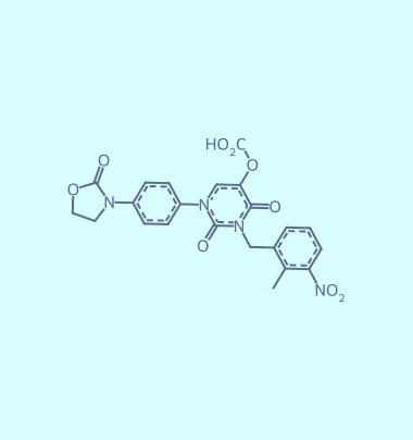 Cc1c(Cn2c(=O)c(OC(=O)O)cn(-c3ccc(N4CCOC4=O)cc3)c2=O)cccc1[N+](=O)[O-]